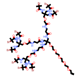 C=CCOCCOCCOCCOCCOCC(CNC(=O)CCNC(=O)COCC(CNC(=O)C(C)(C)Br)(CNC(=O)C(C)(C)Br)CNC(=O)C(C)(C)Br)(CNC(=O)CCNC(=O)COCC(CNC(=O)C(C)(C)Br)(CNC(=O)C(C)(C)Br)CNC(=O)C(C)(C)Br)CNC(=O)CCNC(=O)COCC(CNC(=O)C(C)(C)Br)(CNC(=O)C(C)(C)Br)CNC(=O)C(C)(C)Br